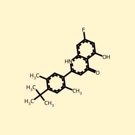 Cc1cc(C(C)(C)C)c(C)cc1-c1cc(=O)c2c(O)cc(F)cc2[nH]1